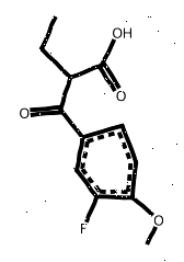 CCC(C(=O)O)C(=O)c1ccc(OC)c(F)c1